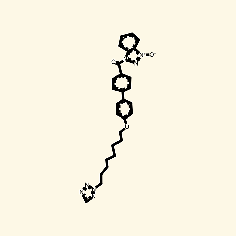 O=C(c1ccc(-c2ccc(OCCCCCCCCn3ncnn3)cc2)cc1)n1n[n+]([O-])c2ccccc21